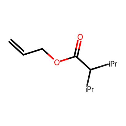 C=CCOC(=O)C(C(C)C)C(C)C